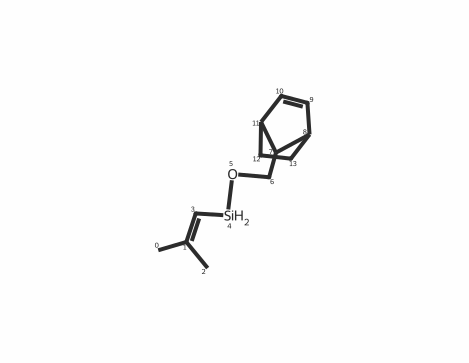 CC(C)=C[SiH2]OCC1C2C=CC1CC2